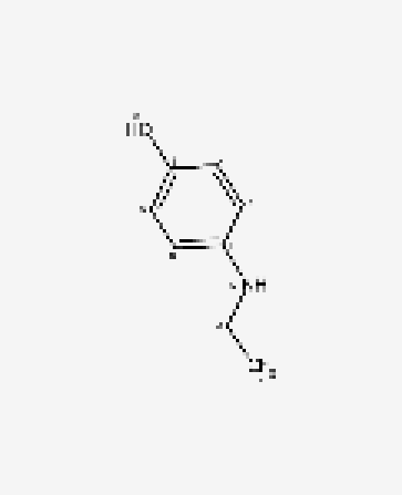 Oc1ccc(NCC(F)(F)F)cc1